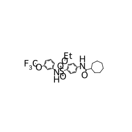 CCOc1cc(NC(=O)C2CCCCCC2)ccc1S(=O)(=O)Nc1cccc(OC(F)(F)F)c1